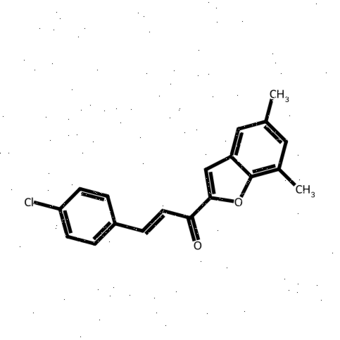 Cc1cc(C)c2oc(C(=O)C=Cc3ccc(Cl)cc3)cc2c1